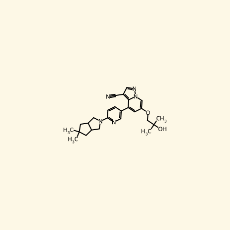 CC(C)(O)COc1cc(-c2ccc(N3CC4CC(C)(C)CC4C3)nc2)c2c(C#N)cnn2c1